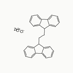 [Cl-].[Cl-].[Zr+2].c1ccc2c(c1)-c1ccccc1C2CCC1c2ccccc2-c2ccccc21